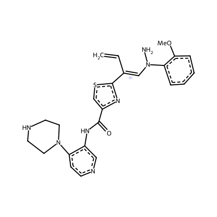 C=C/C(=C\N(N)c1ccccc1OC)c1nc(C(=O)Nc2cnccc2N2CCNCC2)cs1